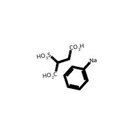 O=C(O)CC(C(=O)O)S(=O)(=O)O.[Na][c]1ccccc1